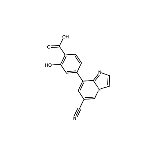 N#Cc1cc(-c2ccc(C(=O)O)c(O)c2)c2nccn2c1